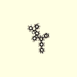 c1ccc(-c2oc3c(ccc4c3c3ccccc3n4-c3cc(-c4ccc(-c5ccncc5)cc4)cc(-c4ccncc4)n3)c2-c2ccccc2)cc1